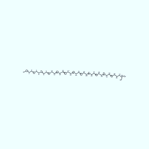 COCCOCCOCCOCCOCCOCCOCCOCCOCCOCCOCCOCCCC(C)C